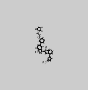 Cc1ccc(-c2ccnc3[nH]c(-c4n[nH]c5ccc(-c6cncc(OCCN7CCCC7)c6)cc45)cc23)s1